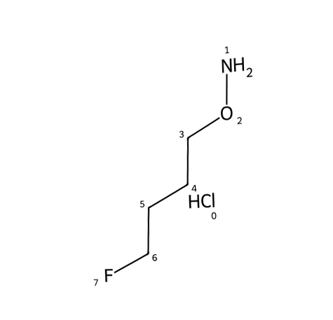 Cl.NOCCCCF